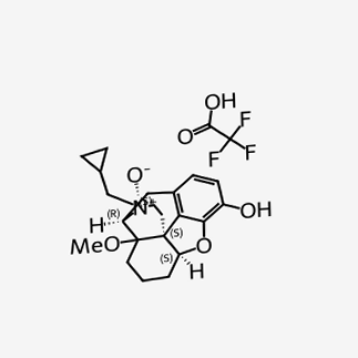 COC12CCC[C@@H]3Oc4c(O)ccc5c4[C@@]31CC[N@+]([O-])(CC1CC1)[C@@H]2C5.O=C(O)C(F)(F)F